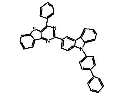 c1ccc(-c2ccc(-n3c4ccccc4c4cc(-c5nc(-c6ccccc6)c6sc7ccccc7c6n5)ccc43)cc2)cc1